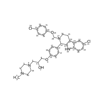 CN1CCN(CC(O)COc2ccc(C3c4[nH]c5ccc(Cl)cc5c4CCN3COc3ccc(Cl)cc3)cc2)CC1